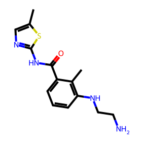 Cc1cnc(NC(=O)c2cccc(NCCN)c2C)s1